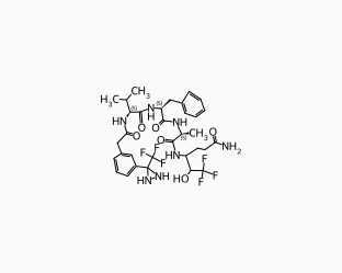 CC(C)[C@H](NC(=O)Cc1cccc(C2(C(F)(F)F)NN2)c1)C(=O)N[C@@H](Cc1ccccc1)C(=O)N[C@@H](C)C(=O)NC(CCC(N)=O)C(O)C(F)(F)F